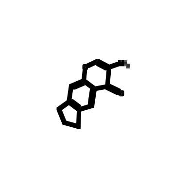 Nc1coc2cc3c(cc2c1=O)CCC3